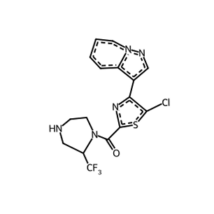 O=C(c1nc(-c2cnn3ccccc23)c(Cl)s1)N1CCNCC1C(F)(F)F